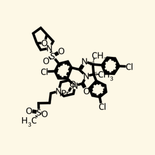 CC(C)Oc1cc(Cl)c(S(=O)(=O)N2CC3CCC(C2)O3)cc1C1=N[C@@](C)(c2ccc(Cl)cc2)[C@@](C)(c2ccc(Cl)cc2)N1C(=O)N1CCN(CCCS(C)(=O)=O)CC1